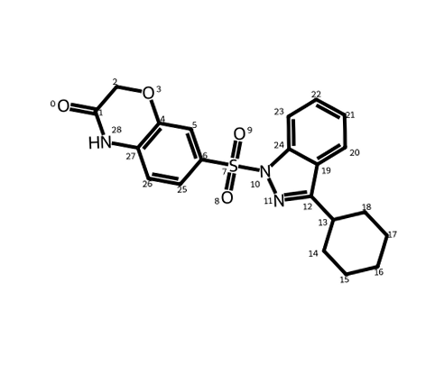 O=C1COc2cc(S(=O)(=O)n3nc(C4CCCCC4)c4ccccc43)ccc2N1